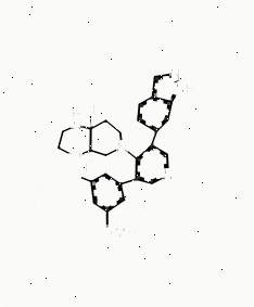 COc1cc(F)cc(-c2cncc(-c3ccc4cn[nH]c4c3)c2N2CC[C@H]3NCCO[C@@H]3C2)c1